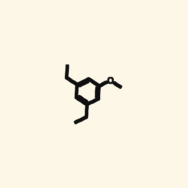 CCc1cc(CC)cc(OC)c1